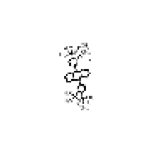 CON1C(C)(C)c2ccc(-c3c4ccccc4c(-c4ccc5c(c4)C(C)(C)N(OC)C5(C)C)c4ccccc34)cc2C1(C)C